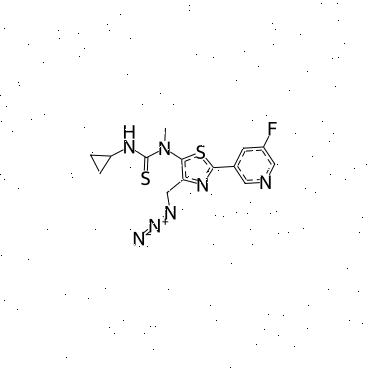 CN(C(=S)NC1CC1)c1sc(-c2cncc(F)c2)nc1CN=[N+]=[N-]